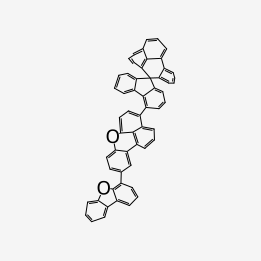 c1ccc2c(c1)-c1c(-c3ccc4c5c(cccc35)-c3cc(-c5cccc6c5oc5ccccc56)ccc3O4)cccc1C21c2ccccc2-c2cccc3cccc1c23